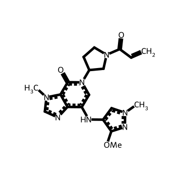 C=CC(=O)N1CCC(n2cc(Nc3cn(C)nc3OC)c3ncn(C)c3c2=O)C1